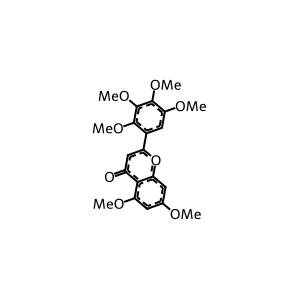 COc1cc(OC)c2c(=O)cc(-c3cc(OC)c(OC)c(OC)c3OC)oc2c1